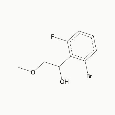 COCC(O)c1c(F)cccc1Br